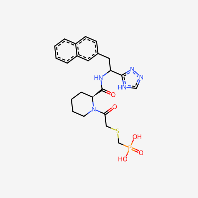 O=C(NC(Cc1ccc2ccccc2c1)c1nnc[nH]1)[C@@H]1CCCCN1C(=O)CSCP(=O)(O)O